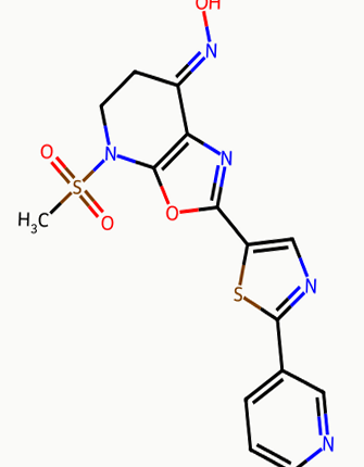 CS(=O)(=O)N1CC/C(=N\O)c2nc(-c3cnc(-c4cccnc4)s3)oc21